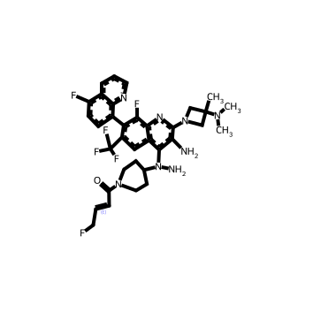 CN(C)C1(C)CN(c2nc3c(F)c(-c4ccc(F)c5cccnc45)c(C(F)(F)F)cc3c(N(N)C3CCN(C(=O)/C=C/CF)CC3)c2N)C1